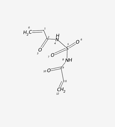 C=CC(=O)NS(=O)(=O)NC(=O)C=C